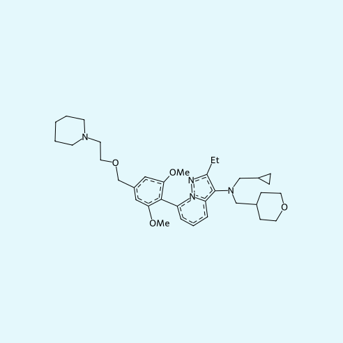 CCc1nn2c(-c3c(OC)cc(COCCN4CCCCC4)cc3OC)cccc2c1N(CC1CCOCC1)CC1CC1